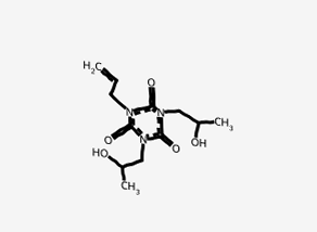 C=CCn1c(=O)n(CC(C)O)c(=O)n(CC(C)O)c1=O